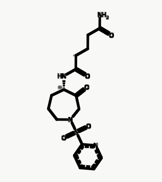 NC(=O)CC[CH]C(=O)N[C@H]1CCCN(S(=O)(=O)c2ccccn2)CC1=O